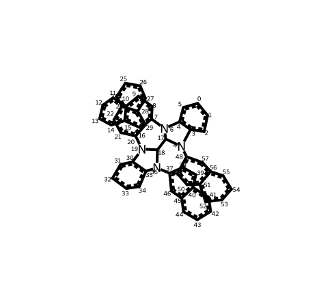 c1ccc2c(c1)N(c1ccc3ccccc3c1)C(C1N(c3ccc4ccccc4c3)c3ccccc3N1c1ccc3ccccc3c1)N2c1ccc2ccccc2c1